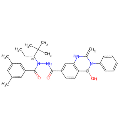 C=C1Nc2cc(C(=O)NN(C(=O)c3cc(C)cc(C)c3)[C@H](CC)C(C)(C)C)ccc2B(O)N1c1ccccc1